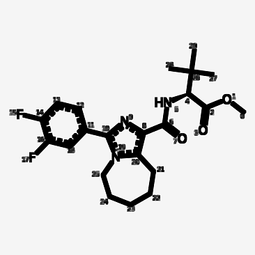 COC(=O)[C@@H](NC(=O)c1nc(-c2ccc(F)c(F)c2)n2c1CCCCC2)C(C)(C)C